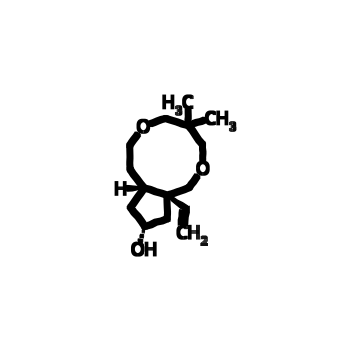 C=C[C@]12COCC(C)(C)COCC[C@H]1C[C@@H](O)C2